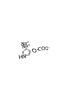 O=C([O-])[O-].[Na+].[Na+].c1cc[nH]c1